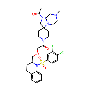 CC(=O)NCC1(N2CCN(C)CC2)CCN(C(=O)COCC2CCc3ccccc3N2S(=O)(=O)c2ccc(Cl)c(Cl)c2)CC1